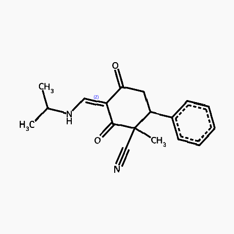 CC(C)N/C=C1/C(=O)CC(c2ccccc2)C(C)(C#N)C1=O